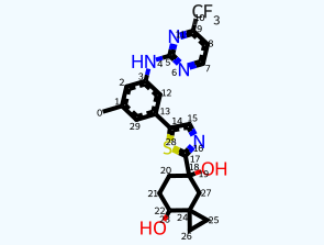 Cc1cc(Nc2nccc(C(F)(F)F)n2)cc(-c2cnc(C3(O)CCC(O)C4(CC4)C3)s2)c1